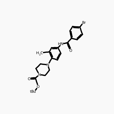 Cc1cc(NC(=O)c2ccc(Br)cc2)ccc1N1CCN(C(=O)OC(C)(C)C)CC1